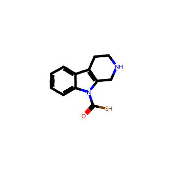 O=C(S)n1c2c(c3ccccc31)CCNC2